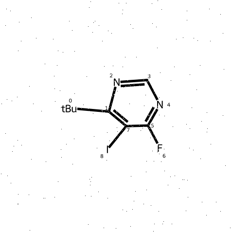 CC(C)(C)c1ncnc(F)c1I